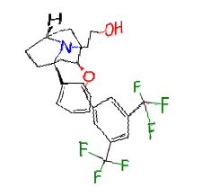 OCCN1[C@H]2CC[C@@H](OCc3cc(C(F)(F)F)cc(C(F)(F)F)c3)[C@]1(c1ccccc1)CC2